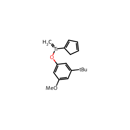 [CH2]=[Ti]([O]c1cc(OC)cc(C(C)(C)C)c1)[C]1=CC=CC1